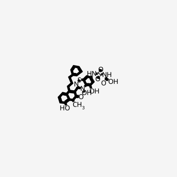 CC1C(=O)C(C2=NSc3cc(NS(=O)(=O)NC(=O)O)cc(O)c3N2O)=C(CCCc2ccccc2)c2cccc(O)c21